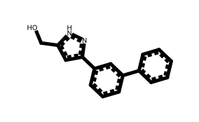 OCc1cc(-c2cccc(-c3ccccc3)c2)n[nH]1